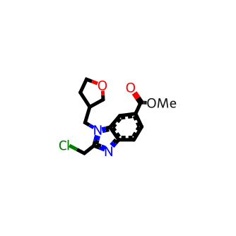 COC(=O)c1ccc2nc(CCl)n(CC3CCOC3)c2c1